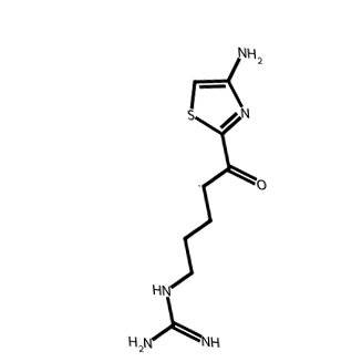 N=C(N)NCCC[CH]C(=O)c1nc(N)cs1